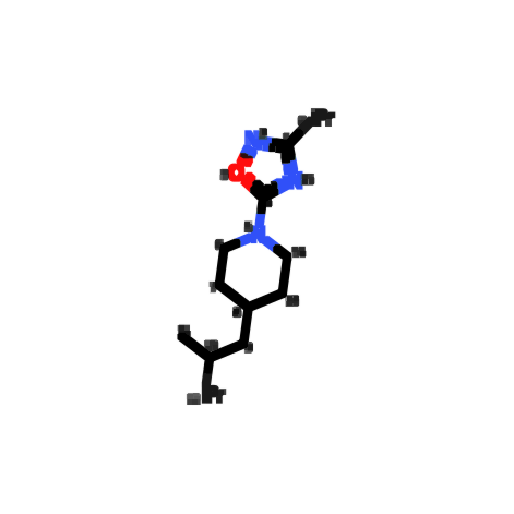 CC(C)c1noc(N2CCC(CC(C)C(C)C)CC2)n1